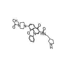 CC(=O)N1CCN(c2ccc3c(=O)c(C(=O)NCC4CCNC4)cn4c3c2Oc2ccccc2-4)CC1